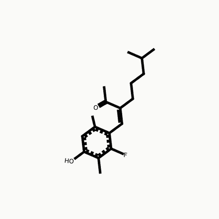 CC(=O)/C(=C\c1c(C)cc(O)c(C)c1F)CCCC(C)C